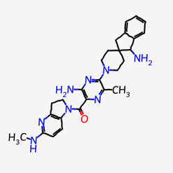 CNc1ccc2c(n1)CCN2C(=O)c1nc(C)c(N2CCC3(CC2)Cc2ccccc2C3N)nc1N